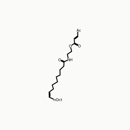 CCCCCCCC/C=C\CCCCCCCC(=O)NCCOC(=O)C=CC(C)=O